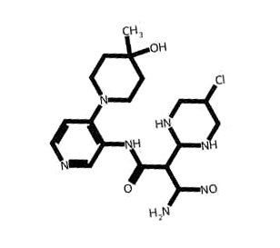 CC1(O)CCN(c2ccncc2NC(=O)C(C(N)N=O)C2NCC(Cl)CN2)CC1